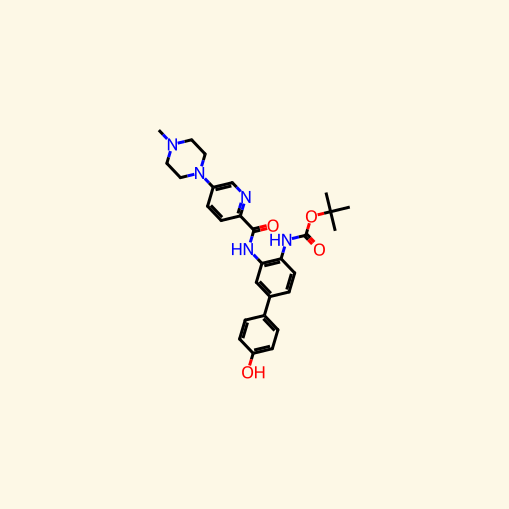 CN1CCN(c2ccc(C(=O)Nc3cc(-c4ccc(O)cc4)ccc3NC(=O)OC(C)(C)C)nc2)CC1